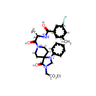 CCOC(=O)CN1CN(c2ccccc2)C2(CCN(C(=O)[C@H](NC(=O)c3cc(C)cc(F)c3)C(C)C)CC2)C1=O